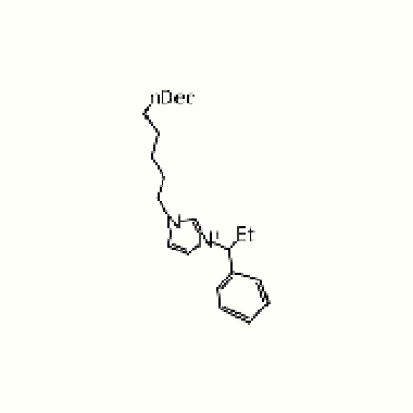 CCCCCCCCCCCCCCCn1cc[n+](C(CC)c2ccccc2)c1